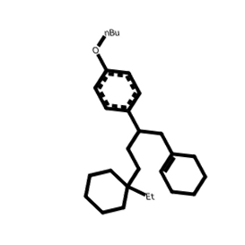 CCCCOc1ccc(C(CCC2(CC)CCCCC2)CC2=CCCCC2)cc1